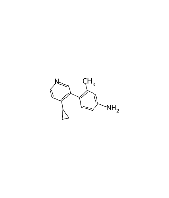 Cc1cc(N)ccc1-c1cnccc1C1CC1